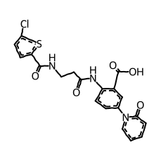 O=C(CCNC(=O)c1ccc(Cl)s1)Nc1ccc(-n2ccccc2=O)cc1C(=O)O